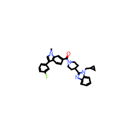 Cn1cc(-c2cccc(F)c2)c2ccc(C(=O)N3CCC(c4nc5ccccc5n4CC4CC4)CC3)cc21